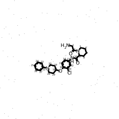 NCC(=O)N1CCCCC1C(=O)Nc1ccc(OC2CCN(c3ccccc3)CC2)c(Cl)c1